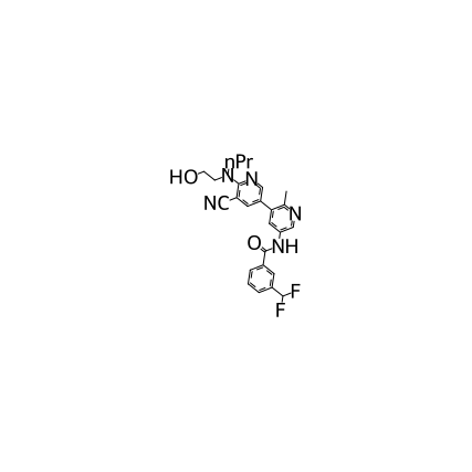 CCCN(CCO)c1ncc(-c2cc(NC(=O)c3cccc(C(F)F)c3)cnc2C)cc1C#N